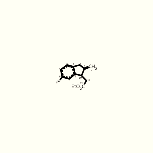 C=C1Cc2ccc(F)cc2C1CC(=O)OCC